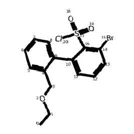 CCOCc1ccccc1-c1cccc(Br)c1S(=O)(=O)Cl